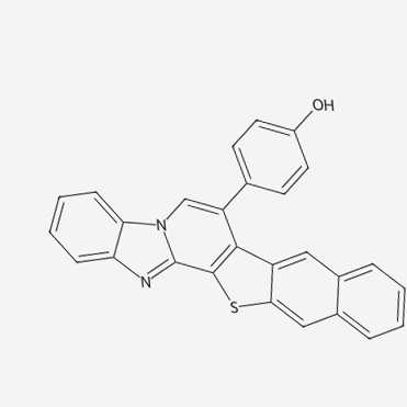 Oc1ccc(-c2cn3c4ccccc4nc3c3sc4cc5ccccc5cc4c23)cc1